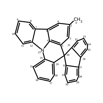 Cc1cc2c3c(c1)c1ccccc1n3-c1ccccc1C21c2ccccc2-c2ccccc21